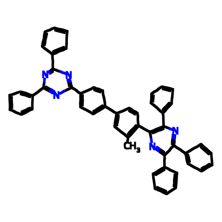 Cc1cc(-c2ccc(-c3nc(-c4ccccc4)nc(-c4ccccc4)n3)cc2)ccc1-c1nc(-c2ccccc2)c(-c2ccccc2)nc1-c1ccccc1